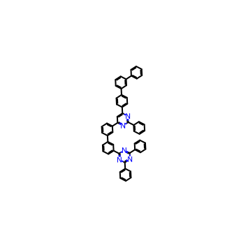 c1ccc(-c2cccc(-c3ccc(-c4cc(-c5cccc(-c6cccc(-c7nc(-c8ccccc8)nc(-c8ccccc8)n7)c6)c5)nc(-c5ccccc5)n4)cc3)c2)cc1